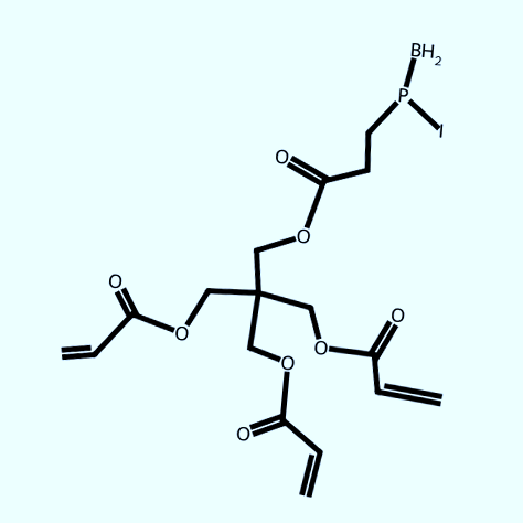 BP(I)CCC(=O)OCC(COC(=O)C=C)(COC(=O)C=C)COC(=O)C=C